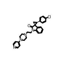 O=C1N(CCN2CCN(c3ccncc3)CC2)c2ccccc2[C@]12C[C@H]2c1ccc(Cl)cc1